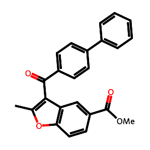 COC(=O)c1ccc2oc(C)c(C(=O)c3ccc(-c4ccccc4)cc3)c2c1